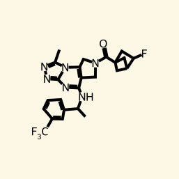 Cc1nnc2nc(NC(C)c3cccc(C(F)(F)F)c3)c3c(n12)CN(C(=O)C12CC(F)C(C1)C2)C3